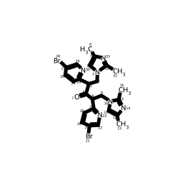 Cc1cn(CC(C(=O)C(Cn2cc(C)nc2C)c2ccc(Br)cn2)c2ccc(Br)cn2)c(C)n1